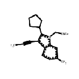 COCn1c(C2CCCC2)c(C#CC(F)(F)F)c2ccc(C(F)(F)F)cc21